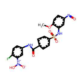 COc1ccc(N=O)cc1NS(=O)(=O)c1ccc(C(=O)Nc2ccc(F)c([NH+]([O-])O)c2)cc1